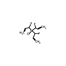 C=CC(F)[Si](Cl)(C(F)C=C)C(F)C=C